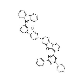 c1ccc(-c2nc(-c3ccccc3)nc(-c3cccc4c3oc3cc(-c5ccc6c(c5)oc5c(-n7c8ccccc8c8ccccc87)cccc56)ccc34)n2)cc1